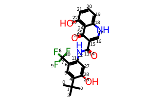 CC(C)(C)c1cc(C(F)(F)F)c(NC(=O)c2c[nH]c3cccc(O)c3c2=O)cc1O